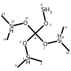 C[SiH](C)OC(O[SiH3])(O[SiH](C)C)O[SiH](C)C